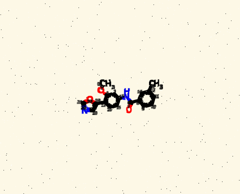 COc1cc(NC(=O)c2cccc(C)c2)ccc1-c1cnco1